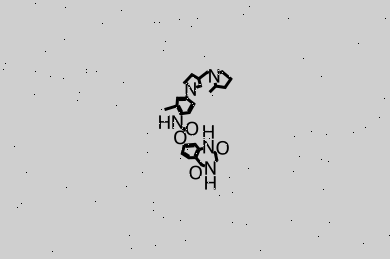 Cc1cc(N2CCC(CN3CCCC3C)C2)ccc1NC(=O)Oc1ccc2c(c1)NC(=O)CNC2=O